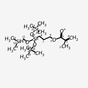 C=C(C)C(=O)OCCC[Si](OC[SiH](C)C)(O[Si](C)(C)C)O[Si](C)(C)C